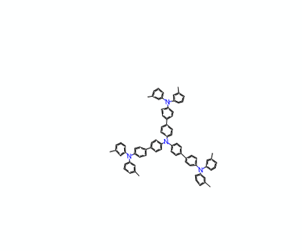 Cc1cccc(N(c2ccc(-c3ccc(N(c4ccc(-c5ccc(N(c6cccc(C)c6)c6cccc(C)c6)cc5)cc4)c4ccc(-c5ccc(N(c6cccc(C)c6)c6cccc(C)c6)cc5)cc4)cc3)cc2)c2cccc(C)c2)c1